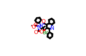 COC(=O)N(C(=O)[O-])[N+](C(=O)c1c(CBr)c(-c2ccccc2)nc2ccccc12)(c1ccccc1)C(C)(C)C